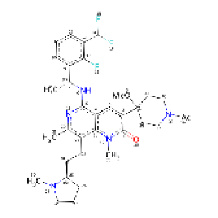 COC1(c2cc3c(N[C@H](C)c4cccc(C(F)F)c4F)nc(C)c(CC[C@H]4CCCN4C)c3n(C)c2=O)CCN(C(C)=O)CC1